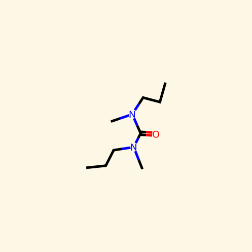 CCCN(C)C(=O)N(C)CCC